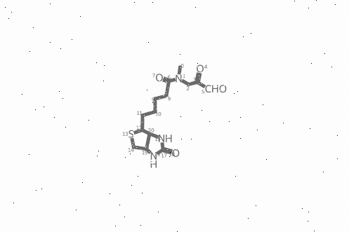 CN(CC(=O)C=O)C(=O)CCCCC1SCC2NC(=O)NC21